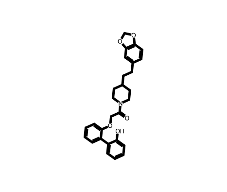 O=C(COc1ccccc1-c1ccccc1O)N1CCC(CCc2ccc3c(c2)OCO3)CC1